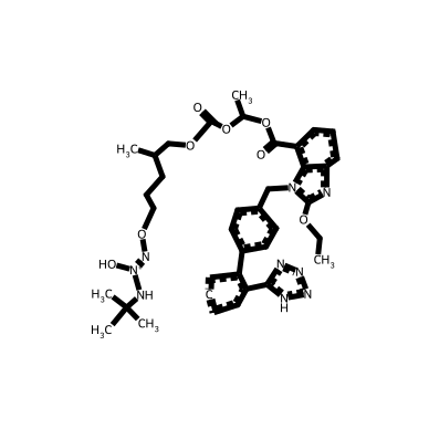 CCOc1nc2cccc(C(=O)OC(C)OC(=O)OCC(C)CCCO/N=[N+](\O)NC(C)(C)C)c2n1Cc1ccc(-c2ccccc2-c2nnn[nH]2)cc1